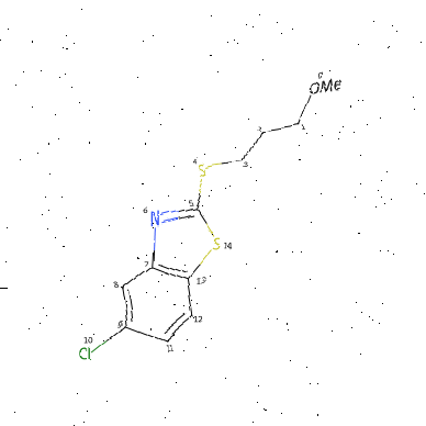 COCCCSc1nc2cc(Cl)ccc2s1